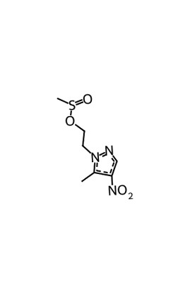 Cc1c([N+](=O)[O-])cnn1CCOS(C)=O